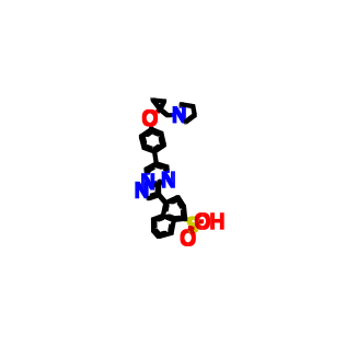 O=S(O)c1ccc(-c2cnn3cc(-c4ccc(OC5(CN6CCCC6)CC5)cc4)cnc23)c2ccccc12